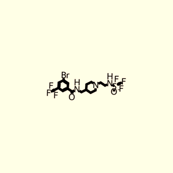 O=C(NCC1CCN(CCN[S+]([O-])C(F)(F)F)CC1)c1cc(Br)cc(C(F)(F)F)c1